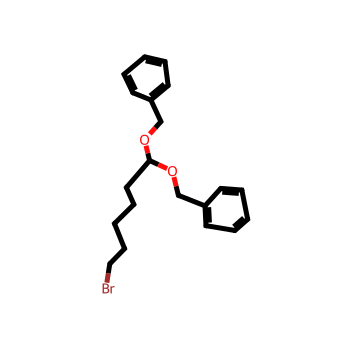 BrCCCCCC(OCc1ccccc1)OCc1ccccc1